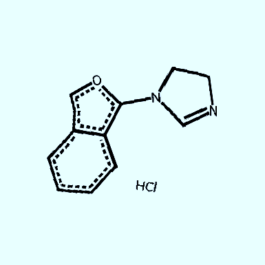 C1=NCCN1c1occ2ccccc12.Cl